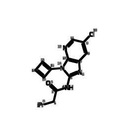 CC(C)CC(=O)Nc1nc2cc(Cl)cnc2n1C1=CC=C1